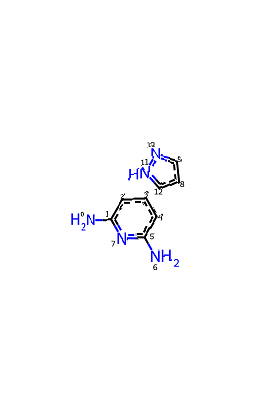 Nc1cccc(N)n1.c1cn[nH]c1